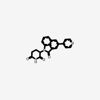 O=C1CCC(N2C(=O)c3cc(-c4ccncc4)cc4cccc2c34)C(=O)N1